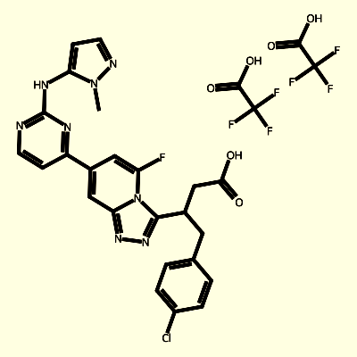 Cn1nccc1Nc1nccc(-c2cc(F)n3c(C(CC(=O)O)Cc4ccc(Cl)cc4)nnc3c2)n1.O=C(O)C(F)(F)F.O=C(O)C(F)(F)F